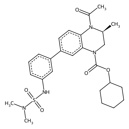 CC(=O)N1c2ccc(-c3cccc(NS(=O)(=O)N(C)C)c3)cc2N(C(=O)OC2CCCCC2)C[C@@H]1C